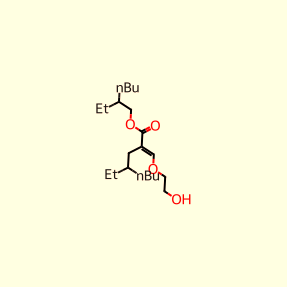 CCCCC(CC)COC(=O)C(=COCCO)CC(CC)CCCC